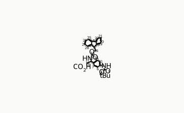 CC(C)(C)OC(=O)Nc1ccc(C(CC(=O)O)NC(=O)OCC2c3ccccc3-c3ccccc32)cc1